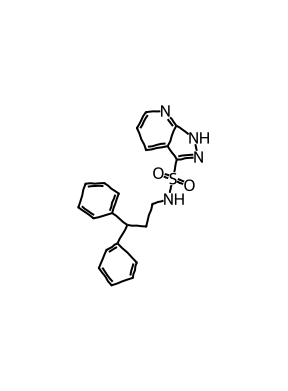 O=S(=O)(NCCC(c1ccccc1)c1ccccc1)c1n[nH]c2ncccc12